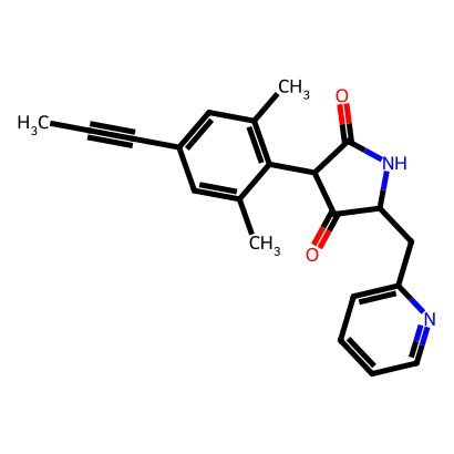 CC#Cc1cc(C)c(C2C(=O)NC(Cc3ccccn3)C2=O)c(C)c1